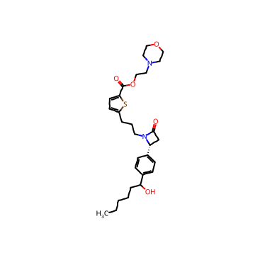 CCCCCC(O)c1ccc([C@H]2CC(=O)N2CCCc2ccc(C(=O)OCCN3CCOCC3)s2)cc1